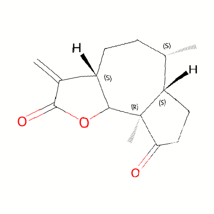 C=C1C(=O)OC2[C@H]1CC[C@H](C)[C@@H]1CCC(=O)[C@@]21C